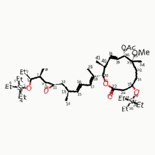 CC[C@H](O[Si](CC)(CC)CC)[C@@H](C)[C@H]1O[C@@H]1C[C@H](C)/C=C/C=C(\C)[C@H]1OC(=O)C[C@H](O[Si](CC)(CC)CC)CC[C@@](C)(OC)[C@@H](OC(C)=O)/C=C/[C@@H]1C